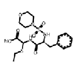 CCSC(NC(=O)[C@H](Cc1ccccc1)NS(=O)(=O)N1CCOCC1)C(=O)O